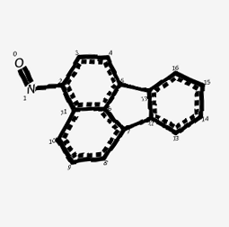 O=Nc1ccc2c3c(cccc13)-c1ccccc1-2